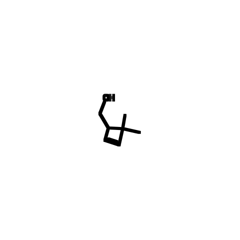 CC1(C)C=CC1CO